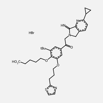 Br.CC(C)(C)c1cc(C(=O)CN2Cc3ccc(C4CC4)nc3C2=N)cc(OCCCc2nccs2)c1OCCCCC(=O)O